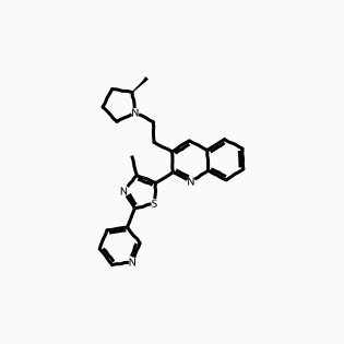 Cc1nc(-c2cccnc2)sc1-c1nc2ccccc2cc1CCN1CCC[C@H]1C